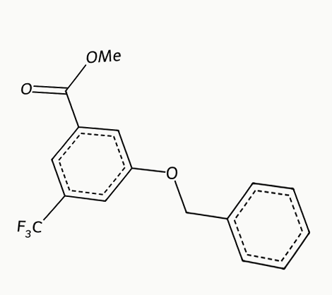 COC(=O)c1cc(OCc2ccccc2)cc(C(F)(F)F)c1